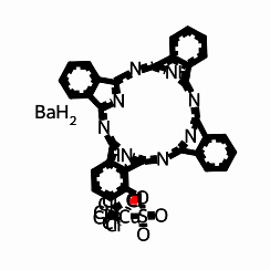 O=[S](=O)(Oc1cccc2c3nc4nc(nc5[nH]c(nc6nc(nc([nH]3)c12)-c1ccccc1-6)c1ccccc51)-c1ccccc1-4)[Cu]([Cl])([Cl])([Cl])([Cl])([Cl])([Cl])([Cl])[Cl].[BaH2]